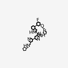 Fc1cc(OCCN2CCCC2)cc(-c2cccc3[nH]c(-c4n[nH]c5ncc(-c6cncc(CNCC7CCCC7)c6)cc45)cc23)c1